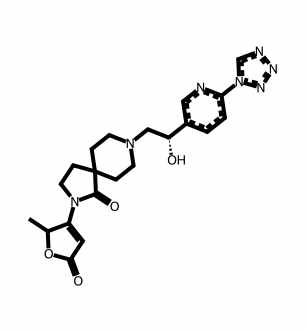 CC1OC(=O)C=C1N1CCC2(CCN(C[C@@H](O)c3ccc(-n4cnnn4)nc3)CC2)C1=O